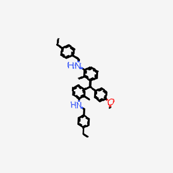 CCc1ccc(CNc2cccc(C(c3ccc(OC)cc3)c3cccc(NCc4ccc(CC)cc4)c3C)c2C)cc1